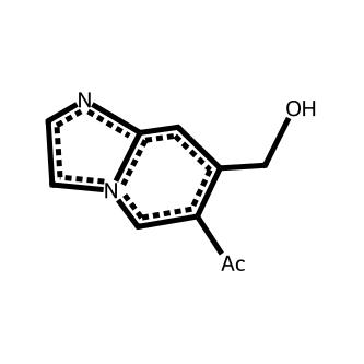 CC(=O)c1cn2ccnc2cc1CO